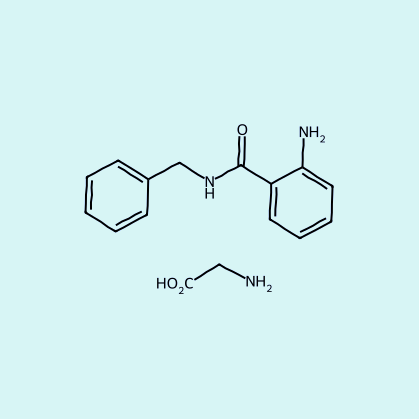 NCC(=O)O.Nc1ccccc1C(=O)NCc1ccccc1